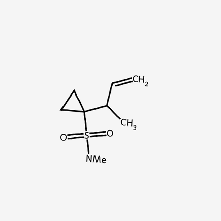 C=CC(C)C1(S(=O)(=O)NC)CC1